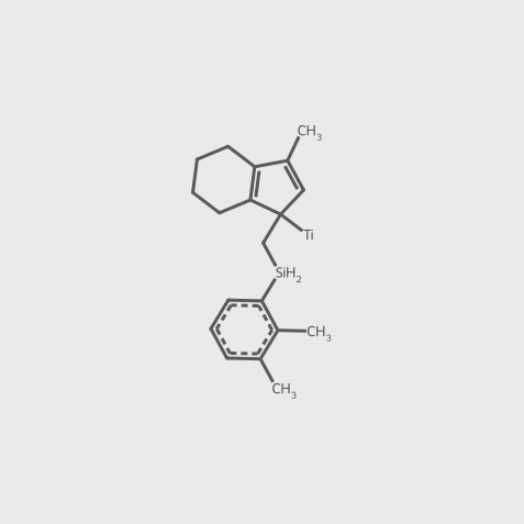 CC1=C[C]([Ti])(C[SiH2]c2cccc(C)c2C)C2=C1CCCC2